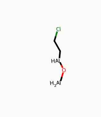 [AlH2][O][AlH][CH2]CCl